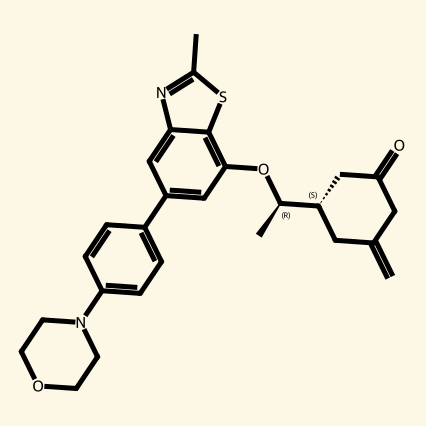 C=C1CC(=O)C[C@@H]([C@@H](C)Oc2cc(-c3ccc(N4CCOCC4)cc3)cc3nc(C)sc23)C1